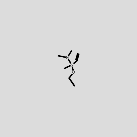 C=C[Si](C)(OCC)N(C)C